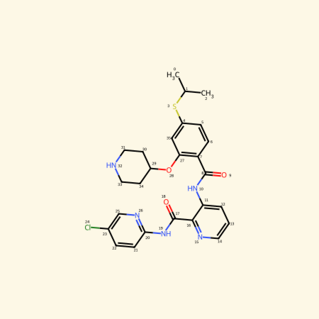 CC(C)Sc1ccc(C(=O)Nc2cccnc2C(=O)Nc2ccc(Cl)cn2)c(OC2CCNCC2)c1